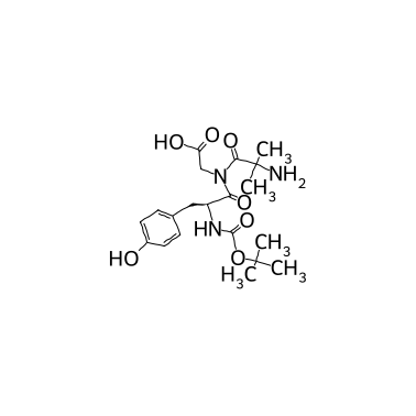 CC(C)(C)OC(=O)N[C@@H](Cc1ccc(O)cc1)C(=O)N(CC(=O)O)C(=O)C(C)(C)N